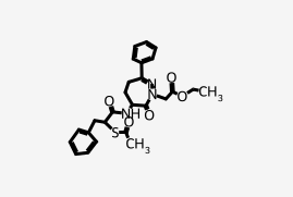 CCOC(=O)CN1N=C(c2ccccc2)CCC(NC(=O)C(Cc2ccccc2)SC(C)=O)C1=O